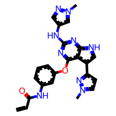 C=CC(=O)Nc1cccc(Oc2nc(Nc3cnn(C)c3)nc3[nH]cc(-c4ccn(C)n4)c23)c1